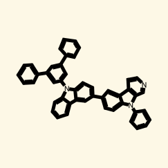 c1ccc(-c2cc(-c3ccccc3)cc(-n3c4ccccc4c4cc(-c5ccc6c(c5)c5ccncc5n6-c5ccccc5)ccc43)c2)cc1